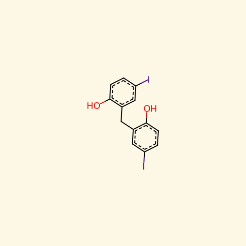 Oc1ccc(I)cc1Cc1cc(I)ccc1O